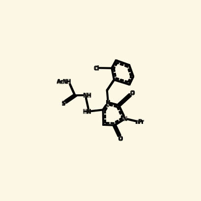 CCCn1c(=O)cc(NNC(=S)NC(C)=O)n(Cc2ccccc2Cl)c1=O